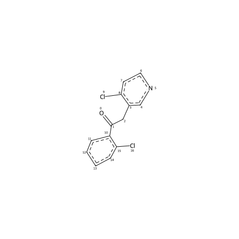 O=C(Cc1cnccc1Cl)c1ccccc1Cl